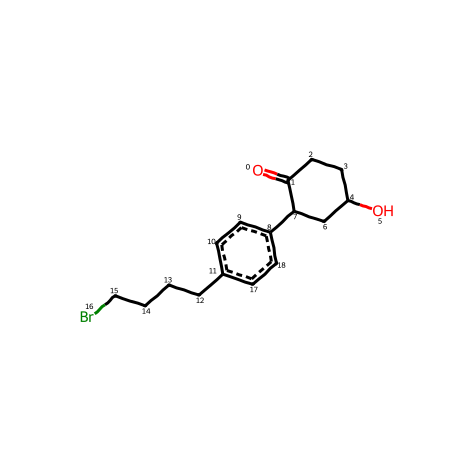 O=C1CCC(O)CC1c1ccc(CCCCBr)cc1